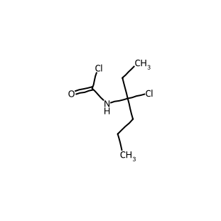 CCCC(Cl)(CC)NC(=O)Cl